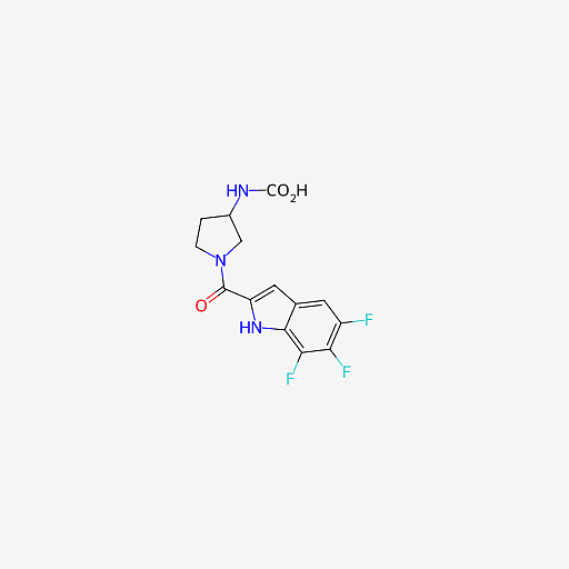 O=C(O)NC1CCN(C(=O)c2cc3cc(F)c(F)c(F)c3[nH]2)C1